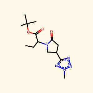 CCC(C(=O)OC(C)(C)C)N1CC(c2nnn(C)n2)CC1=O